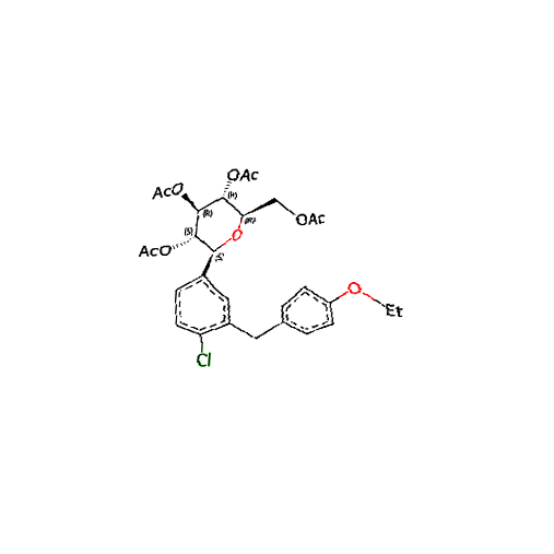 CCOc1ccc(Cc2cc([C@@H]3O[C@H](COC(C)=O)[C@@H](OC(C)=O)[C@H](OC(C)=O)[C@H]3OC(C)=O)ccc2Cl)cc1